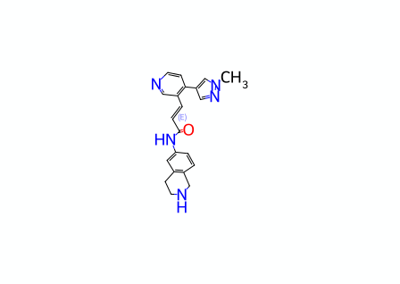 Cn1cc(-c2ccncc2/C=C/C(=O)Nc2ccc3c(c2)CCNC3)cn1